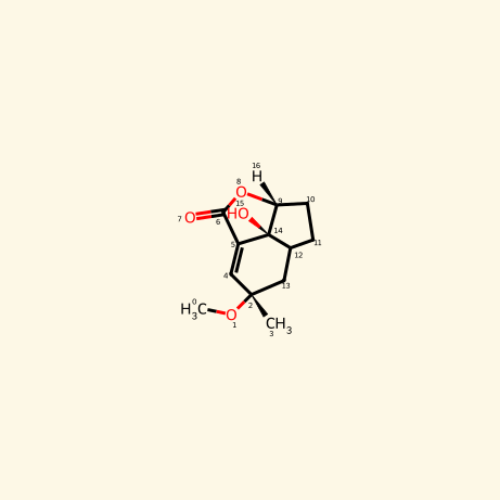 CO[C@]1(C)C=C2C(=O)O[C@@H]3CCC(C1)[C@]23O